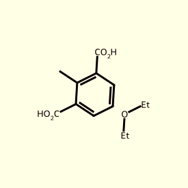 CCOCC.Cc1c(C(=O)O)cccc1C(=O)O